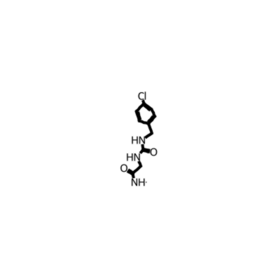 [NH]C(=O)CNC(=O)NCc1ccc(Cl)cc1